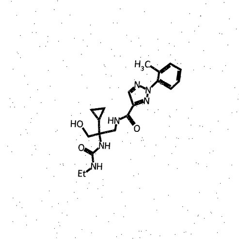 CCNC(=O)NC(CO)(CNC(=O)c1cnn(-c2ccccc2C)n1)C1CC1